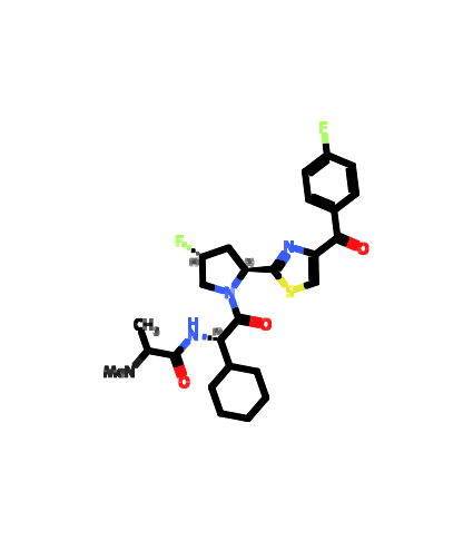 CNC(C)C(=O)N[C@H](C(=O)N1C[C@H](F)C[C@H]1c1nc(C(=O)c2ccc(F)cc2)cs1)C1CCCCC1